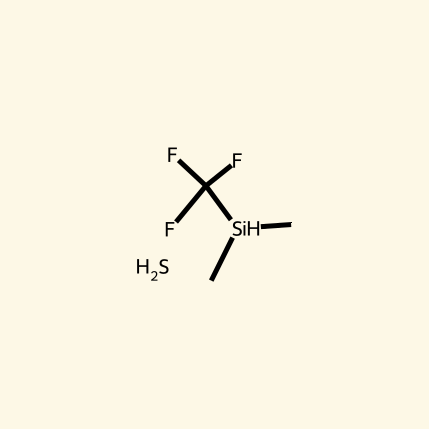 C[SiH](C)C(F)(F)F.S